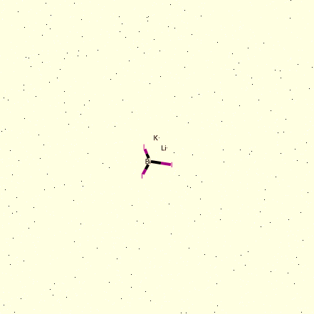 [I][Bi]([I])[I].[K].[Li]